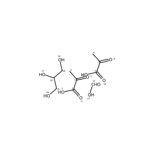 CC(=O)C(=O)O.CC(=O)C(=O)O.O=CO.OCC(O)CO